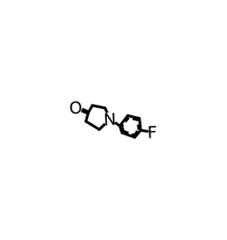 O=C1CCN(c2ccc(F)cc2)CC1